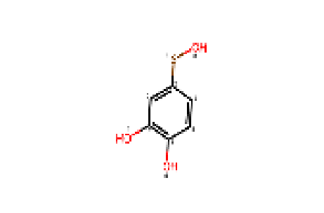 OSc1ccc(O)c(O)c1